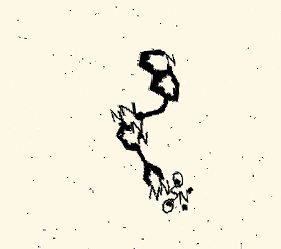 CN(C)S(=O)(=O)n1cc(-c2ccc3nnc(Cc4ccc5ncccc5c4)n3n2)cn1